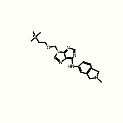 CN1Cc2ccc(Nc3ncnc4c3ncn4COCC[Si](C)(C)C)cc2C1